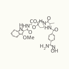 COc1c(C(=O)N[C@@H](OC2CCN(C(=O)C(C)NC(=O)c3ccc(/C(N)=N/O)cc3)CC2)C(=O)O)[nH]c2ccccc12